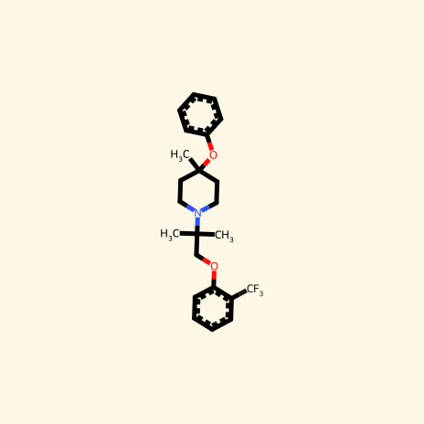 CC1(Oc2ccccc2)CCN(C(C)(C)COc2ccccc2C(F)(F)F)CC1